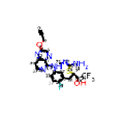 C#CCOc1cnc2c(Nc3ccc(F)c(C[C@@](C)(S/C(N)=N\C)[C@@H](O)C(F)(F)F)c3)nccc2n1